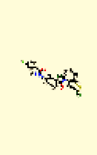 Cc1cc(F)ccc1C(=O)Nc1ccc(C(=O)N2CCCCc3sc(Cl)cc32)c(Cl)c1